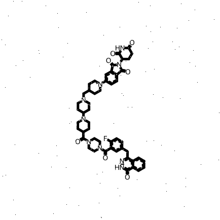 O=C1CCC(N2C(=O)c3ccc(N4CCC(CN5CCC(N6CCC(C(=O)N7CCN(C(=O)c8cc(Cc9n[nH]c(=O)c%10ccccc9%10)ccc8F)CC7)CC6)CC5)CC4)cc3C2=O)C(=O)N1